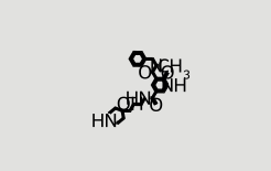 CN(Cc1ccccc1)C(=O)c1cc(C(=O)NCCCC2(O)CCNCC2)c[nH]c1=O